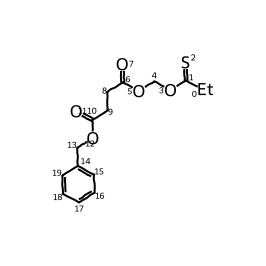 CCC(=S)OCOC(=O)CCC(=O)OCc1ccccc1